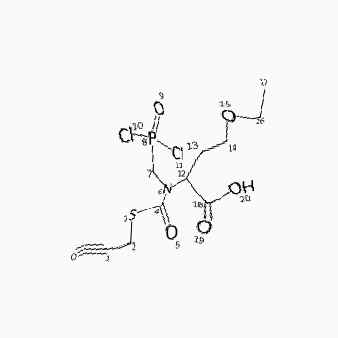 C#CCSC(=O)N(CP(=O)(Cl)Cl)C(CCOCC)C(=O)O